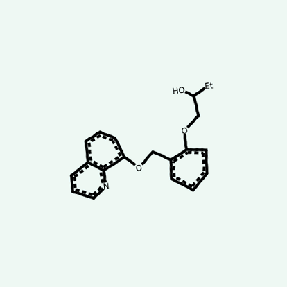 CCC(O)COc1ccccc1COc1cccc2cccnc12